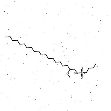 CCCCCCCCCCCCCCCCSCC(CNS(=O)(=O)CCCI)OC